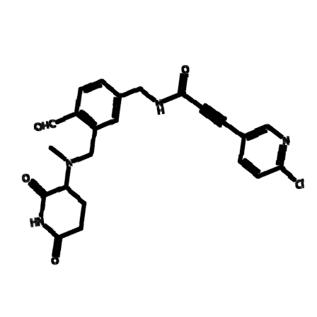 CN(Cc1cc(CNC(=O)C#Cc2ccc(Cl)nc2)ccc1C=O)C1CCC(=O)NC1=O